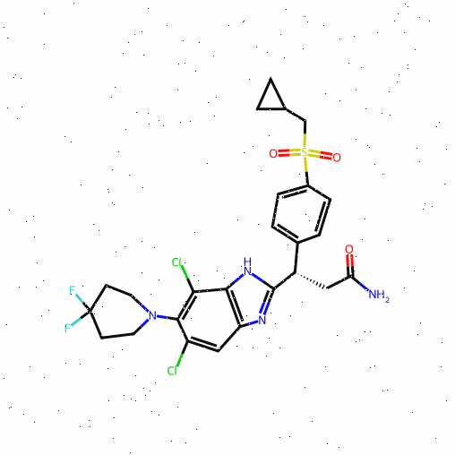 NC(=O)C[C@@H](c1ccc(S(=O)(=O)CC2CC2)cc1)c1nc2cc(Cl)c(N3CCC(F)(F)CC3)c(Cl)c2[nH]1